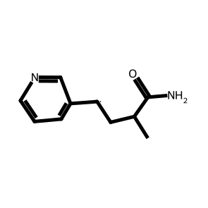 CC(C[CH]c1cccnc1)C(N)=O